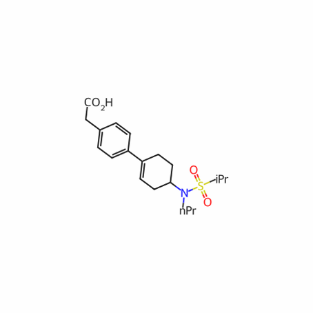 CCCN(C1CC=C(c2ccc(CC(=O)O)cc2)CC1)S(=O)(=O)C(C)C